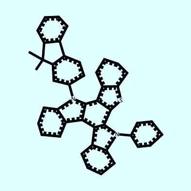 CC1(C)c2ccccc2-c2ccc(-n3c4ccccc4c4c5c6ccccc6n(-c6ccccc6)c5c5sc6ccccc6c5c43)cc21